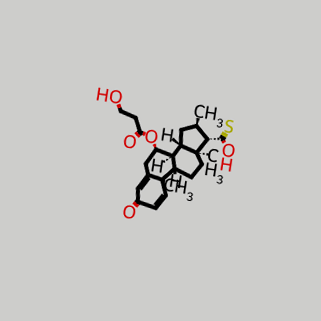 C[C@@H]1C[C@H]2[C@@H]3[C@H](OC(=O)CCO)CC4=CC(=O)C=C[C@]4(C)[C@H]3CC[C@]2(C)[C@H]1C(O)=S